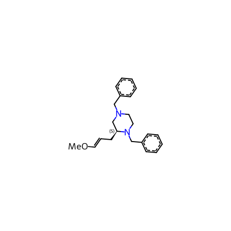 COC=CC[C@H]1CN(Cc2ccccc2)CCN1Cc1ccccc1